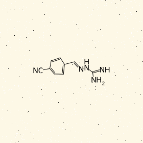 N#Cc1ccc(C=NNC(=N)N)cc1